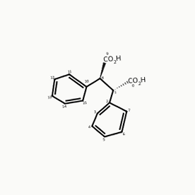 O=C(O)[C@H](c1ccccc1)[C@H](C(=O)O)c1ccccc1